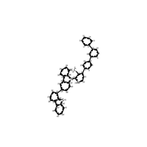 Cc1c(-c2ccc(-c3cccc(-c4ccccc4)c3)cc2)ccnc1-n1c2ccccc2c2cc(-c3cccc4c3sc3ccccc34)ccc21